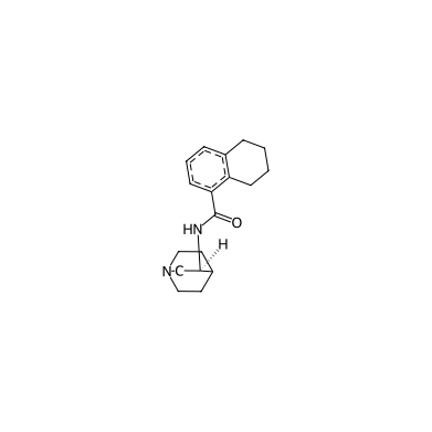 O=C(N[C@@H]1CN2CCC1CC2)c1cccc2c1CCCC2